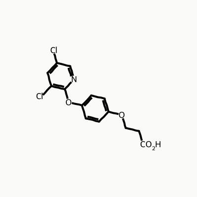 O=C(O)CCOc1ccc(Oc2ncc(Cl)cc2Cl)cc1